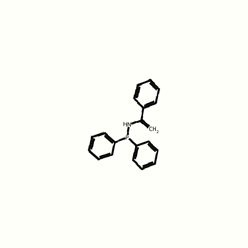 C=C(NP(c1ccccc1)c1ccccc1)c1ccccc1